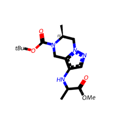 COC(=O)C(C)Nc1cnn2c1CN(C(=O)OC(C)(C)C)[C@@H](C)C2